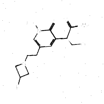 COC(=O)[C@@H](CC(C)C)c1cc(CCN2CC(F)C2)cn(C)c1=O